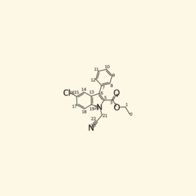 CCOC(=O)c1c(-c2ccccc2)c2cc(Cl)ccc2n1CC#N